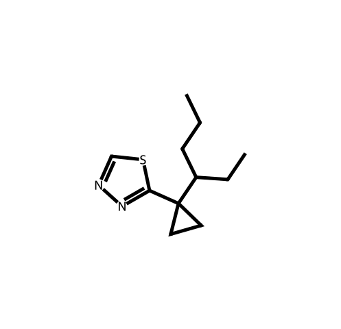 CCCC(CC)C1(c2nncs2)CC1